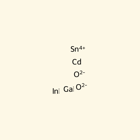 [Cd].[Ga].[In].[O-2].[O-2].[Sn+4]